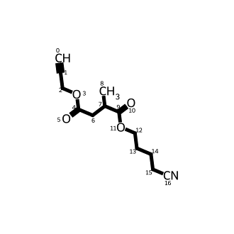 C#CCOC(=O)CC(C)C(=O)OCCCCC#N